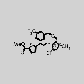 COC(=O)c1ccc(CCC[C@@H]2[C@@H](C=C=Cc3cccc(C(F)(F)F)c3)[C@H](C)C[C@H]2Cl)s1